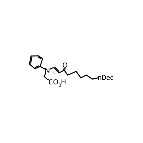 CCCCCCCCCCCCCCCC(=O)/C=C/N(CC(=O)O)c1ccccc1